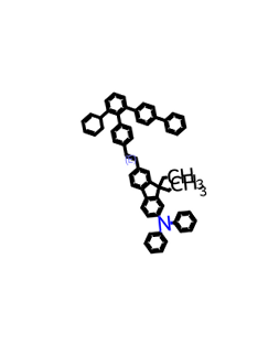 CCC1(CC)c2cc(/C=C/c3ccc(-c4c(-c5ccc(-c6ccccc6)cc5)cccc4C4C=CC=CC4)cc3)ccc2-c2ccc(N(c3ccccc3)c3ccccc3)cc21